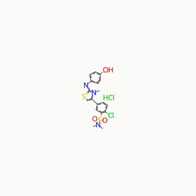 CN(C)S(=O)(=O)c1cc(-c2cs/c(=N/c3ccc(O)cc3)n2C)ccc1Cl.Cl